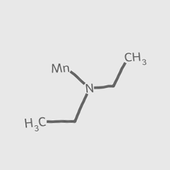 CC[N]([Mn])CC